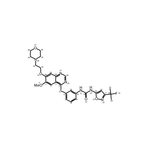 COc1cc2c(Sc3cccc(NC(=O)Nc4cc(C(C)(C)F)no4)c3)ncnc2cc1OCCN1CCOCC1